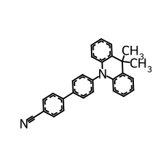 CC1(C)c2ccccc2N(c2ccc(-c3ccc(C#N)cc3)cc2)c2ccccc21